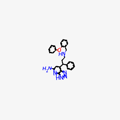 Nc1cc(C(CCNCc2ccccc2Oc2ccccc2)c2ccccc2)c2nn[nH]c2n1